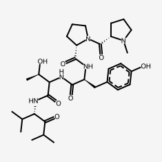 CC(C)C(=O)[C@@H](NC(=O)C(NC(=O)[C@H](Cc1ccc(O)cc1)NC(=O)[C@@H]1CCCN1C(=O)[C@@H]1CCCN1C)[C@@H](C)O)C(C)C